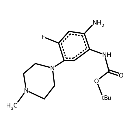 CN1CCN(c2cc(NC(=O)OC(C)(C)C)c(N)cc2F)CC1